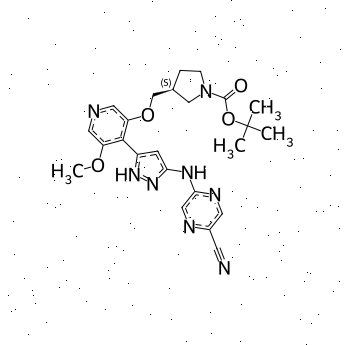 COc1cncc(OC[C@H]2CCN(C(=O)OC(C)(C)C)C2)c1-c1cc(Nc2cnc(C#N)cn2)n[nH]1